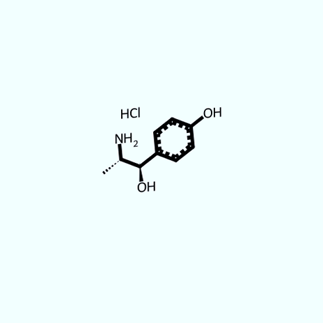 C[C@H](N)[C@H](O)c1ccc(O)cc1.Cl